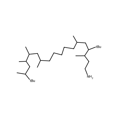 CC(CCCCCC(C)CC(C(C)CCN)C(C)(C)C)CC(C)C(C)CC(C)C(C)(C)C